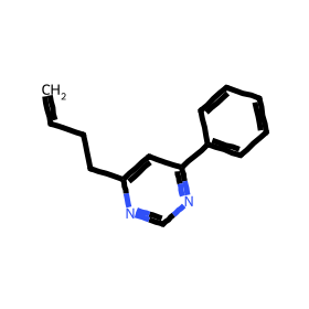 C=CCCc1cc(-c2ccccc2)ncn1